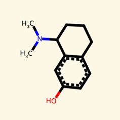 CN(C)C1CCCc2ccc(O)cc21